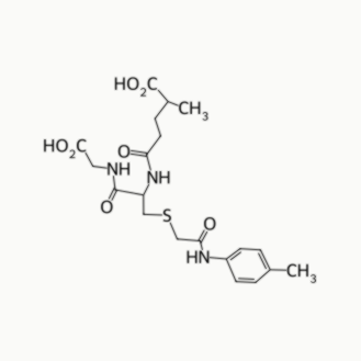 Cc1ccc(NC(=O)CSCC(NC(=O)CCC(C)C(=O)O)C(=O)NCC(=O)O)cc1